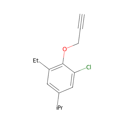 C#CCOc1c(Cl)cc(C(C)C)cc1CC